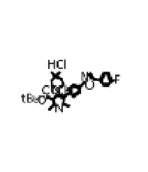 Cc1nc(C)c([C@H](OC(C)(C)C)C(=O)O)c(N2CCC(C)(C)CC2)c1-c1ccc(-c2ncc(-c3ccc(F)cc3)o2)cc1.Cl